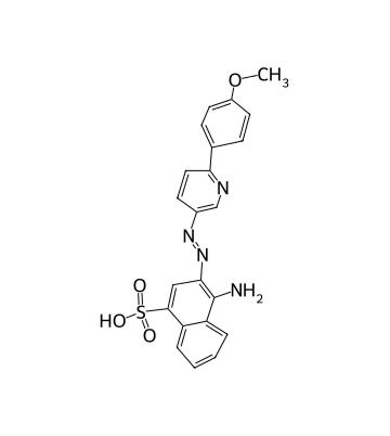 COc1ccc(-c2ccc(N=Nc3cc(S(=O)(=O)O)c4ccccc4c3N)cn2)cc1